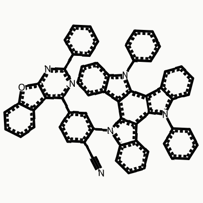 N#Cc1ccc(-c2nc(-c3ccccc3)nc3oc4ccccc4c23)cc1-n1c2ccccc2c2c3c(c4ccccc4n3-c3ccccc3)c3c(c4ccccc4n3-c3ccccc3)c21